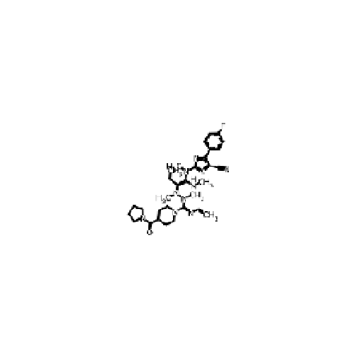 C=C/N=C(/N1CCC(C(=O)N2CCCC2)CC1)N(C)N(C)/C(CC)=C(\NC)N(C)c1nc(-c2ccc(F)cc2)c(C#N)s1